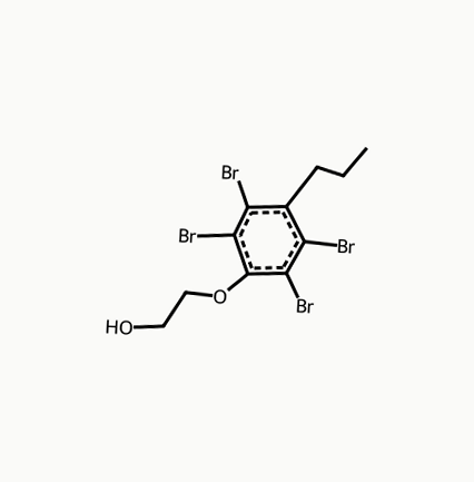 CCCc1c(Br)c(Br)c(OCCO)c(Br)c1Br